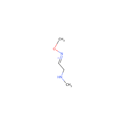 CNC/C=N/OC